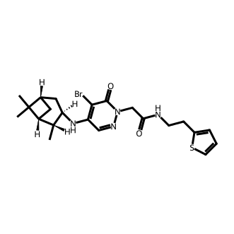 C[C@@H]1[C@H]2C[C@@H](C[C@H]1Nc1cnn(CC(=O)NCCc3cccs3)c(=O)c1Br)C2(C)C